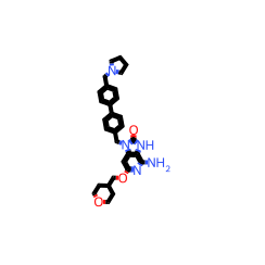 Nc1nc(OCC2CCOCC2)cc2c1[nH]c(=O)n2Cc1ccc(-c2ccc(CN3CCCC3)cc2)cc1